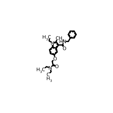 CCN(CC)C(=O)COc1ccc2c(c1)c(C(=O)NCc1ccccc1)c(C)n2CC